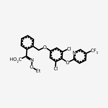 CCON=C(C(=O)O)c1ccccc1COc1cc(Cl)c(Oc2ccc(C(F)(F)F)cn2)c(Cl)c1